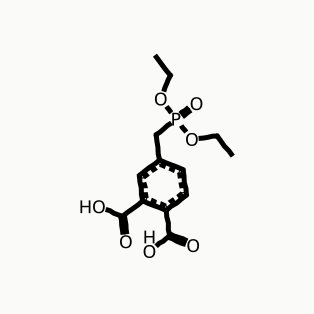 CCOP(=O)(Cc1ccc(C(=O)O)c(C(=O)O)c1)OCC